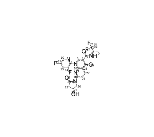 C[C@H](NC(=O)c1cn(-c2ncc(F)cc2F)c2nc(N3C[C@@H](O)CC3=O)ccc2c1=O)C(F)(F)F